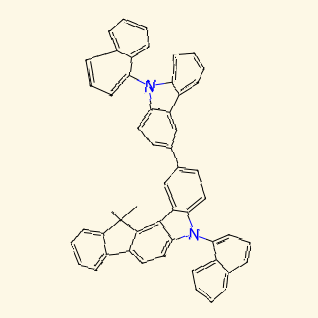 CC1(C)c2ccccc2-c2ccc3c(c21)c1cc(-c2ccc4c(c2)c2ccccc2n4-c2cccc4ccccc24)ccc1n3-c1cccc2ccccc12